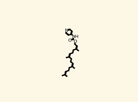 CC(C)=CCCC(C)=CCCC(C)=CCCC(C)=CCOC(=O)Nc1ccncc1